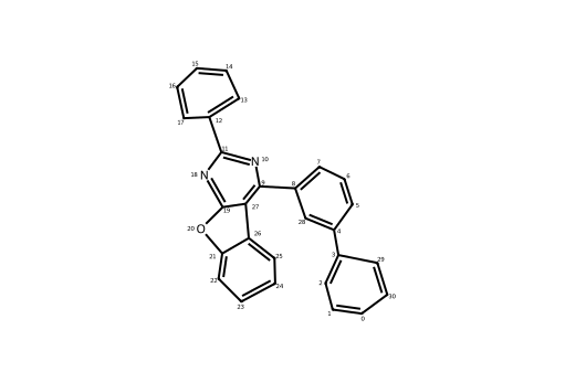 c1ccc(-c2cccc(-c3nc(-c4ccccc4)nc4oc5ccccc5c34)c2)cc1